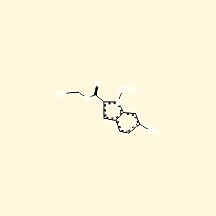 CC(C)(C)COC(=O)c1cc2ccc(N)cc2n1C(=O)O